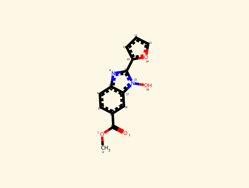 COC(=O)c1ccc2nc(-c3ccco3)n(O)c2c1